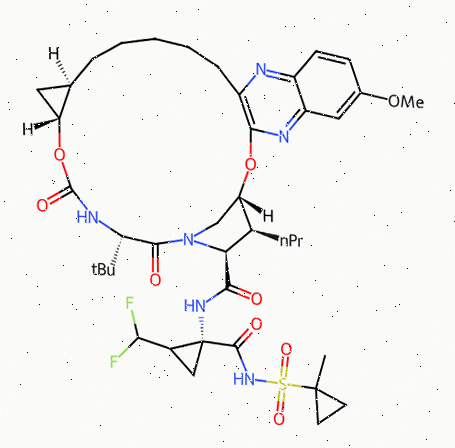 CCC[C@@H]1[C@@H]2CN(C(=O)[C@H](C(C)(C)C)NC(=O)O[C@@H]3C[C@H]3CCCCCc3nc4ccc(OC)cc4nc3O2)[C@@H]1C(=O)N[C@]1(C(=O)NS(=O)(=O)C2(C)CC2)CC1C(F)F